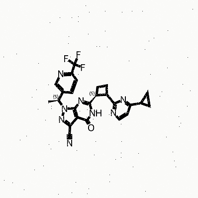 C[C@@H](c1ccc(C(F)(F)F)nc1)n1nc(C#N)c2c(=O)[nH]c([C@H]3CCC3c3nccc(C4CC4)n3)nc21